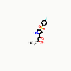 O=C(O)C(O)=CC(=O)c1cc(S(=O)(=O)c2ccc(F)cc2)c[nH]1